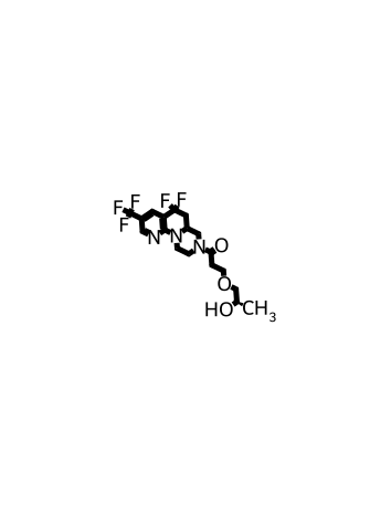 C[C@@H](O)COCCC(=O)N1CCN2c3ncc(C(F)(F)F)cc3C(F)(F)CC2C1